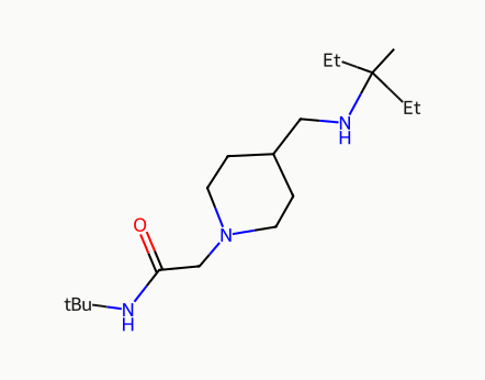 CCC(C)(CC)NCC1CCN(CC(=O)NC(C)(C)C)CC1